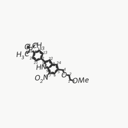 COCCOCc1cc([N+](=O)[O-])c2[nH]c(-c3ccc(P(C)(C)=O)cc3)cc2c1